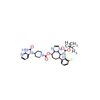 CC(C)(C)OC(=O)NC1c2nccnc2C(OC(=O)N2CCC(n3c(=O)[nH]c4ncccc43)CC2)CCC1c1cccc(F)c1F